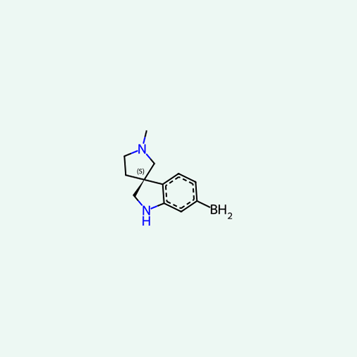 Bc1ccc2c(c1)NC[C@]21CCN(C)C1